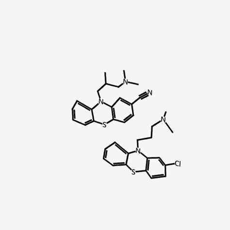 CC(CN(C)C)CN1c2ccccc2Sc2ccc(C#N)cc21.CN(C)CCCN1c2ccccc2Sc2ccc(Cl)cc21